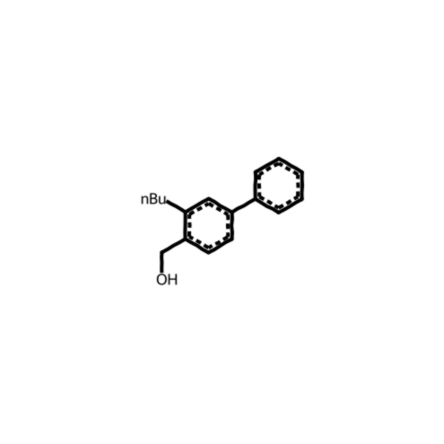 CCCCc1cc(-c2ccccc2)ccc1CO